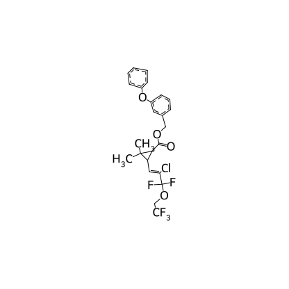 CC1(C)C(C=C(Cl)C(F)(F)OCC(F)(F)F)C1C(=O)OCc1cccc(Oc2ccccc2)c1